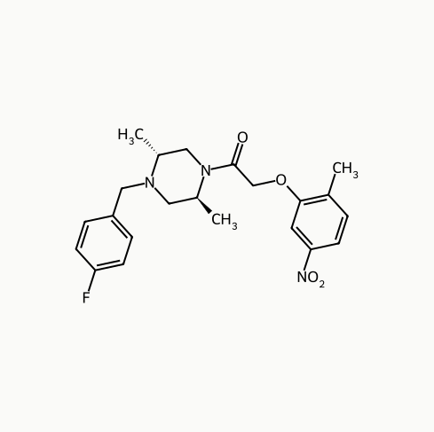 Cc1ccc([N+](=O)[O-])cc1OCC(=O)N1C[C@@H](C)N(Cc2ccc(F)cc2)C[C@@H]1C